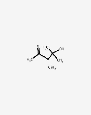 CC(=O)CC(C)(C)O.[CaH2]